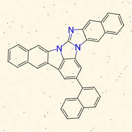 c1ccc2cc3c(cc2c1)nc1n3c2cc(-c3cccc4ccccc34)cc3c4cc5ccccc5cc4n1c32